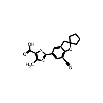 Cc1nc(-c2cc(C#N)c3c(c2)CC2(CCCC2)O3)sc1C(=O)O